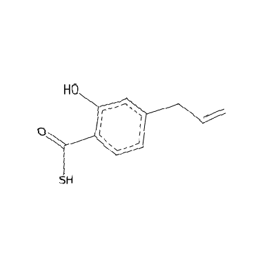 C=CCc1ccc(C(=O)S)c(O)c1